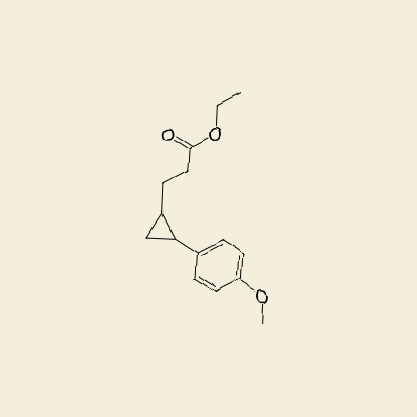 CCOC(=O)CCC1CC1c1ccc(OC)cc1